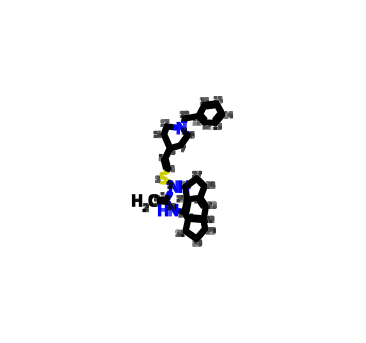 C=C(NS/C=C/C1CCN(Cc2ccccc2)CC1)Nc1c2c(cc3c1CCC3)CCC2